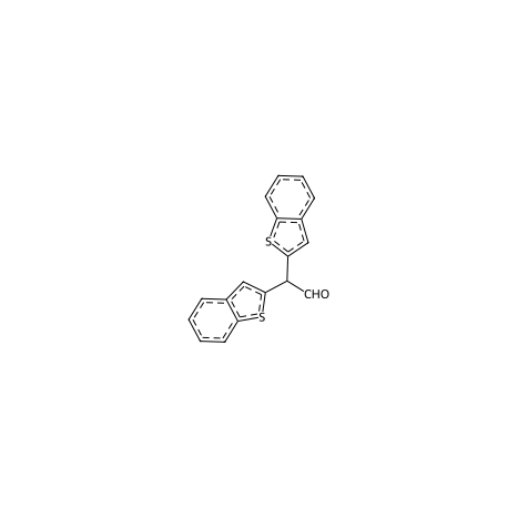 O=CC(c1cc2ccccc2s1)c1cc2ccccc2s1